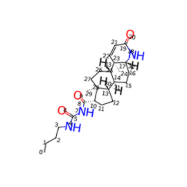 CCCCNC(=O)NC(=O)[C@H]1CC[C@H]2[C@@H]3CC[C@H]4NC(=O)C=C[C@]4(C)[C@H]3CC[C@]12C